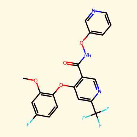 COc1cc(F)ccc1Oc1cc(C(F)(F)F)ncc1C(=O)NOc1cccnc1